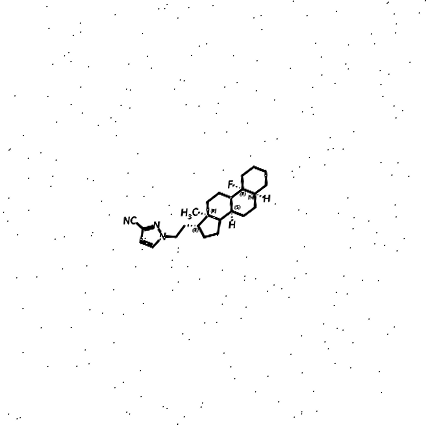 C[C@]12CCC3[C@@H](CC[C@@H]4CCCC[C@]34F)C1CC[C@@H]2CCn1ccc(C#N)n1